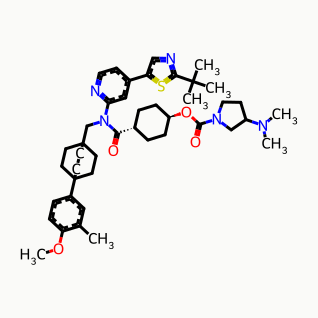 COc1ccc(C23CCC(CN(c4cc(-c5cnc(C(C)(C)C)s5)ccn4)C(=O)[C@H]4CC[C@H](OC(=O)N5CCC(N(C)C)C5)CC4)(CC2)CC3)cc1C